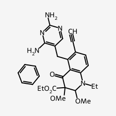 C#Cc1ccc2c(c1Cc1cnc(N)nc1N)C(=O)C(OC)(C(=O)OCC)C(OC)N2CC.c1ccccc1